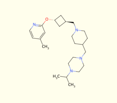 Cc1ccnc(O[C@H]2C[C@H](CN3CCC(CN4CCN(C(C)C)CC4)CC3)C2)c1